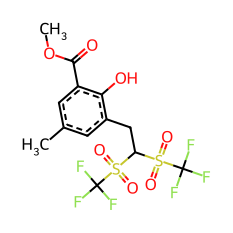 COC(=O)c1cc(C)cc(CC(S(=O)(=O)C(F)(F)F)S(=O)(=O)C(F)(F)F)c1O